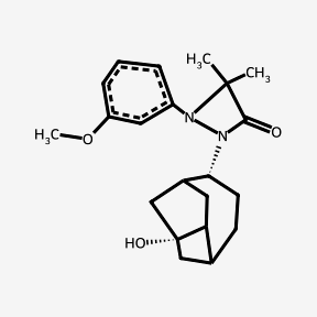 COc1cccc(N2N([C@@H]3CCC4C[C@@]5(O)CC3CC45)C(=O)C2(C)C)c1